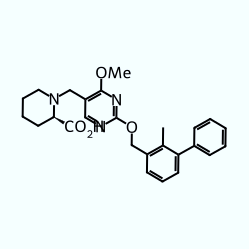 COc1nc(OCc2cccc(-c3ccccc3)c2C)ncc1CN1CCCC[C@@H]1C(=O)O